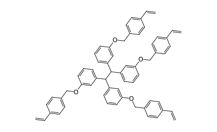 C=Cc1ccc(COc2cccc(C(c3cccc(OCc4ccc(C=C)cc4)c3)C(c3cccc(OCc4ccc(C=C)cc4)c3)c3cccc(OCc4ccc(C=C)cc4)c3)c2)cc1